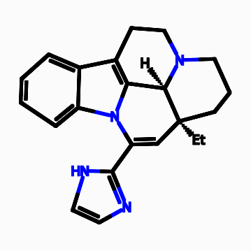 CC[C@@]12C=C(c3ncc[nH]3)n3c4c(c5ccccc53)CCN(CCC1)[C@H]42